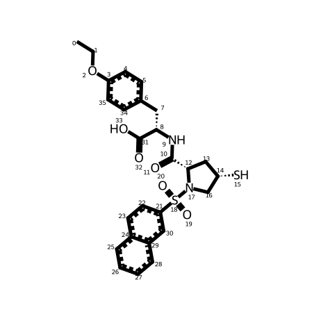 CCOc1ccc(C[C@H](NC(=O)[C@@H]2C[C@H](S)CN2S(=O)(=O)c2ccc3ccccc3c2)C(=O)O)cc1